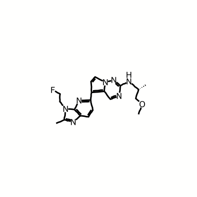 COC[C@@H](C)Nc1ncc2c(-c3ccc4nc(C)n(CCF)c4n3)ccn2n1